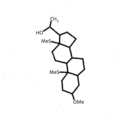 COC1CCC2(SC)C(CCC3C2CCC2(SC)C(C(C)O)CCC32)C1